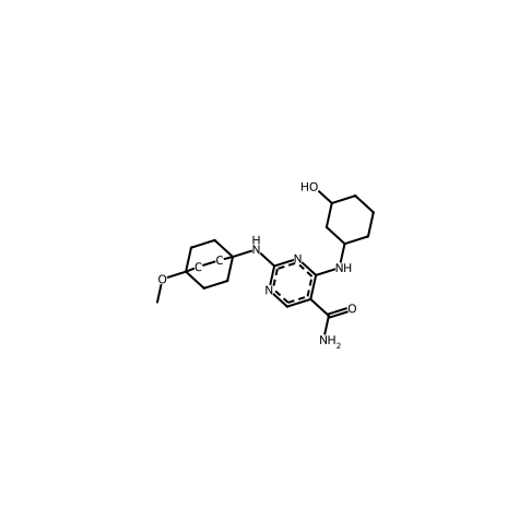 COC12CCC(Nc3ncc(C(N)=O)c(NC4CCCC(O)C4)n3)(CC1)CC2